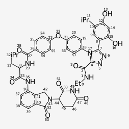 CCNC(=O)c1nnc(-c2cc(C(C)C)c(O)cc2O)n1-c1ccc(Oc2ccc(C(=O)NC(CC(C)C)C(=O)Nc3cccc4c3CN(C3CCC(=O)NC3=O)C4=O)cc2)cc1